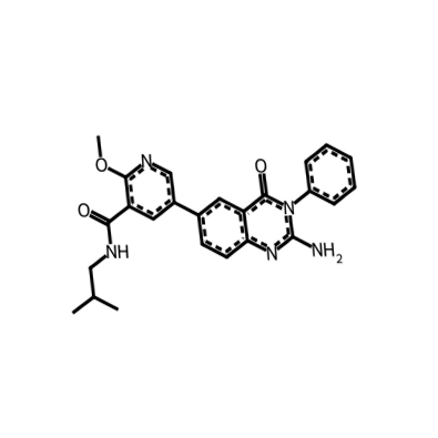 COc1ncc(-c2ccc3nc(N)n(-c4ccccc4)c(=O)c3c2)cc1C(=O)NCC(C)C